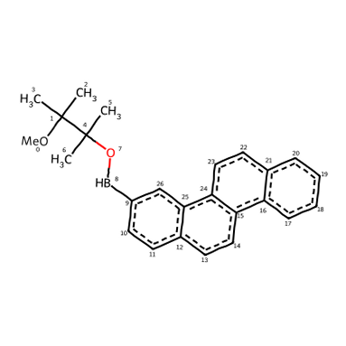 COC(C)(C)C(C)(C)OBc1ccc2ccc3c4ccccc4ccc3c2c1